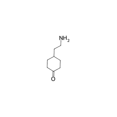 NCCC1CCC(=O)CC1